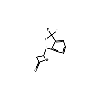 O=C1CC(Sc2ccccc2C(F)(F)F)N1